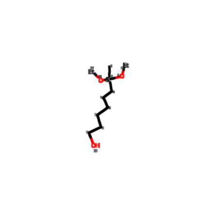 CCO[Si](C)(CCCCCCO)OCC